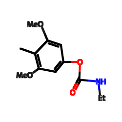 CCNC(=O)Oc1cc(OC)c(C)c(OC)c1